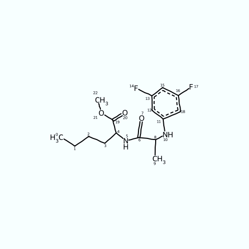 CCCCC(NC(=O)C(C)Nc1cc(F)cc(F)c1)C(=O)OC